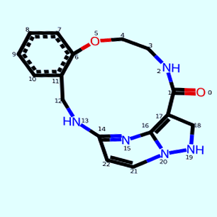 O=C1NCCOc2ccccc2CNC2=NC3=C1CNN3C=C2